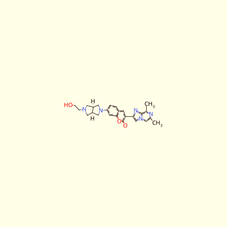 Cc1cn2cc(-c3cc4ccc(N5C[C@H]6CN(CCO)C[C@H]6C5)cc4oc3=O)nc2c(C)n1